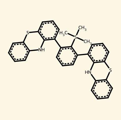 CS(C)(C)c1c(-c2cccc3c2Nc2ccccc2S3)cccc1-c1cccc2c1Nc1ccccc1S2